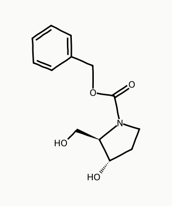 O=C(OCc1ccccc1)N1CC[C@H](O)[C@H]1CO